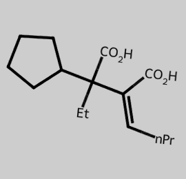 CCCC=C(C(=O)O)C(CC)(C(=O)O)C1CCCC1